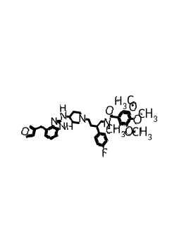 COc1cc(C(=O)N(C)CC(CCN2CCC(Nc3nc4c(Cc5ccoc5)cccc4[nH]3)CC2)c2ccc(F)cc2)cc(OC)c1OC